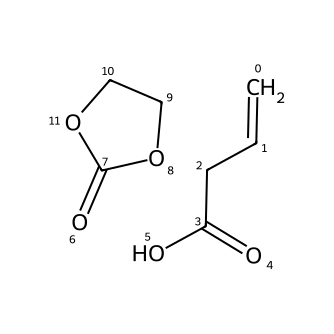 C=CCC(=O)O.O=C1OCCO1